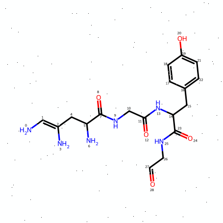 N/C=C(\N)CC(N)C(=O)NCC(=O)NC(Cc1ccc(O)cc1)C(=O)NCC=O